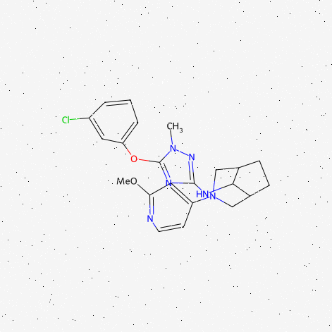 COc1cc(N2CC3CCC(C2)C3Nc2nc(Oc3cccc(Cl)c3)n(C)n2)ccn1